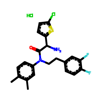 Cc1ccc(N(CCc2ccc(F)c(F)c2)C(=O)C(N)c2ccc(Cl)s2)cc1C.Cl